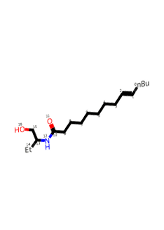 CCCCC=CCCCCCCCC(=O)NC(CC)CO